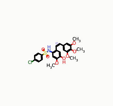 COc1cc(NS(=O)(=O)c2ccc(Cl)cc2)c(/C=C\c2cc(OC)c(OC)c(OC)c2)cc1O